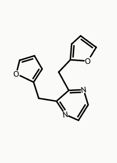 c1coc(Cc2nccnc2Cc2ccco2)c1